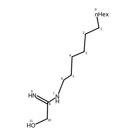 CCCCCCCCCCCCNC(=N)CO